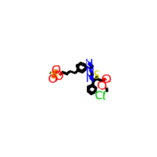 CCOC(=O)c1sc(-n2cnc3ccc(CCCCOS(C)(=O)=O)cc32)nc1-c1cccc(Cl)c1